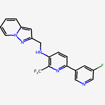 Fc1cncc(-c2ccc(NCc3cc4ccccn4n3)c(C(F)(F)F)n2)c1